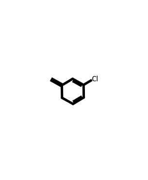 C=C1C=C(Cl)C=CC1